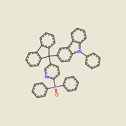 O=P(c1ccccc1)(c1ccccc1)c1ccc(C2(c3ccc4c(c3)c3ccccc3n4-c3ccccc3)c3ccccc3-c3ccccc32)cn1